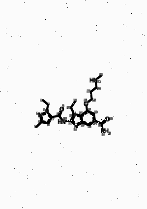 CCn1nc(C)cc1C(=O)Nc1nc2cc(C(N)=O)cc(OCCCNC)c2n1CC